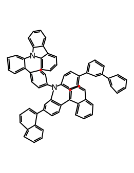 c1ccc(-c2cccc(-c3ccc(N(c4ccc(-c5ccccc5-n5c6ccccc6c6ccccc65)cc4)c4cc(-c5cccc6ccccc56)ccc4-c4cccc5ccccc45)cc3)c2)cc1